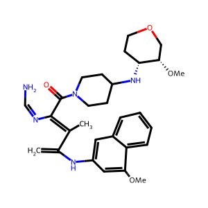 C=C(Nc1cc(OC)c2ccccc2c1)/C(C)=C(\N=C/N)C(=O)N1CCC(N[C@@H]2CCOC[C@@H]2OC)CC1